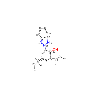 CCC(C)c1cc(C(C)(C)CC)cc(-n2nc3ccccc3n2)c1O